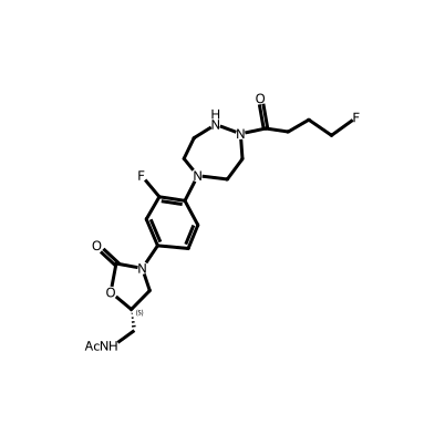 CC(=O)NC[C@H]1CN(c2ccc(N3CCNN(C(=O)CCCF)CC3)c(F)c2)C(=O)O1